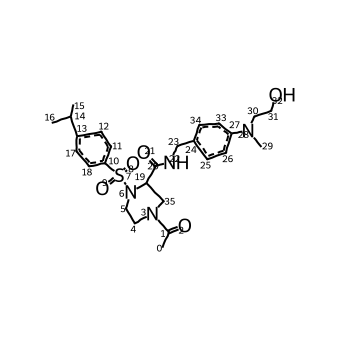 CC(=O)N1CCN(S(=O)(=O)c2ccc(C(C)C)cc2)C(C(=O)NCc2ccc(N(C)CCO)cc2)C1